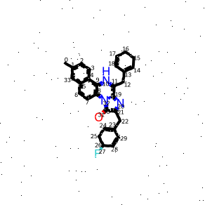 Cc1ccc2c(ccc3c2[nH]c(CC2=CCCC=C2)c2nc(CC4=CCC(F)C=C4)c(=O)n3-2)c1